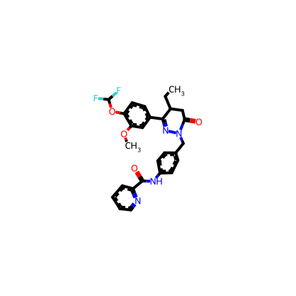 CCC1CC(=O)N(Cc2ccc(NC(=O)c3ccccn3)cc2)N=C1c1ccc(OC(F)F)c(OC)c1